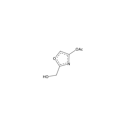 CC(=O)Oc1coc(CO)n1